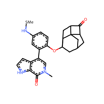 CSNc1ccc(OC23CC4CC5C(=O)C(C2)C5(C4)C3)c(-c2cn(C)c(=O)c3[nH]ccc23)c1